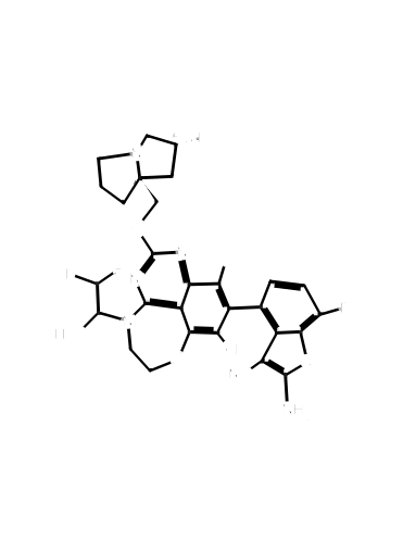 CC(C(F)F)N1CCOc2c(Cl)c(-c3ccc(F)c4sc(N)c(C#N)c34)c(F)c3nc(OC[C@@]45CCCN4C[C@H](F)C5)nc1c23